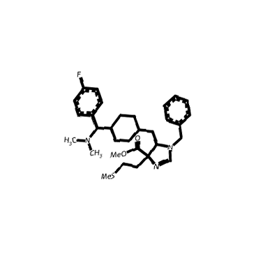 COC(=O)C1(CCSC)N=CN(Cc2ccccc2)C1CC1CCC(C(c2ccc(F)cc2)N(C)C)CC1